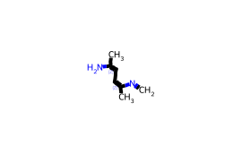 C=N/C(C)=C\C=C(\C)N